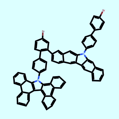 Brc1ccc(-c2ccc(-n3c4cc5ccccc5cc4c4cc5ccc(-c6cc(Br)ccc6-c6ccc(-n7c8c9ccccc9c9ccccc9c8c8c9ccccc9c9ccccc9c87)cc6)cc5cc43)cc2)cc1